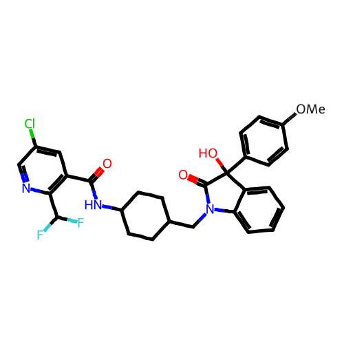 COc1ccc(C2(O)C(=O)N(CC3CCC(NC(=O)c4cc(Cl)cnc4C(F)F)CC3)c3ccccc32)cc1